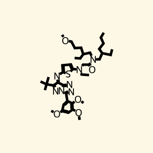 CCCCC(CC)CN(CC(CC)CCCOC)C(=O)CN(CC)c1ccc(/N=C2/C(C(C)(C)C)=Nn3c2nnc3-c2cc(OC)cc(OC)c2OC)s1